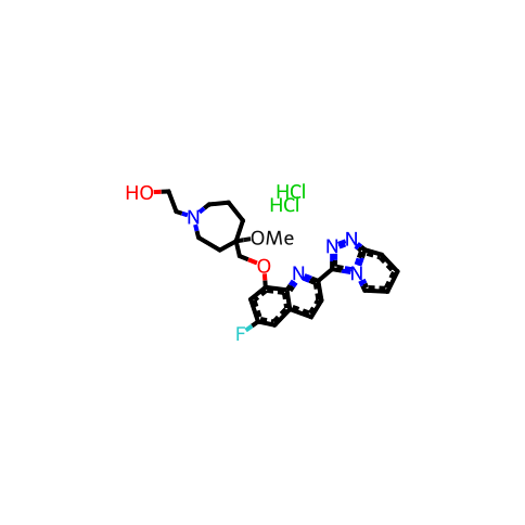 COC1(COc2cc(F)cc3ccc(-c4nnc5ccccn45)nc23)CCCN(CCO)CC1.Cl.Cl